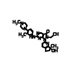 C#CCn1c(=O)c2cnc(Nc3ccc(N4CCN(C)CC4)c(C)c3)nc2n1-c1ccc2c(n1)[C@](C)(O)CC2